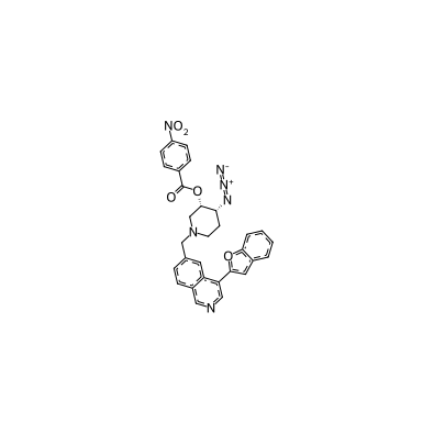 [N-]=[N+]=N[C@@H]1CCN(Cc2ccc3cncc(-c4cc5ccccc5o4)c3c2)C[C@@H]1OC(=O)c1ccc([N+](=O)[O-])cc1